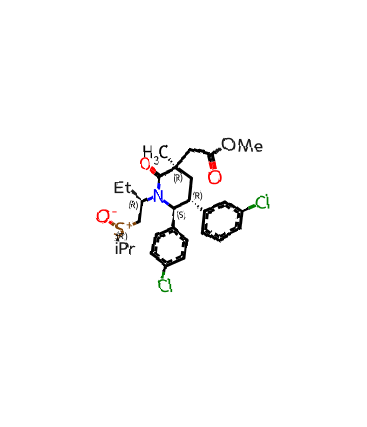 CC[C@H](C[S@+]([O-])C(C)C)N1C(=O)[C@@](C)(CC(=O)OC)C[C@H](c2cccc(Cl)c2)[C@H]1c1ccc(Cl)cc1